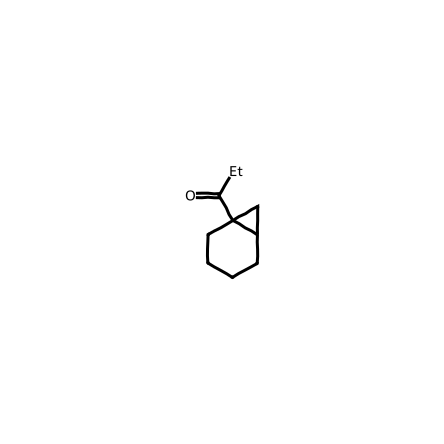 CCC(=O)C12CCCCC1C2